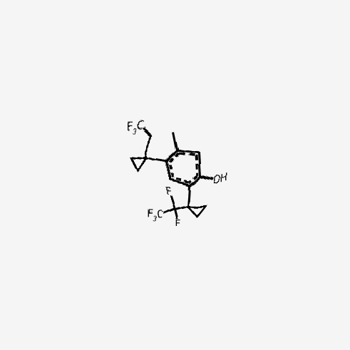 Cc1cc(O)c(C2(C(F)(F)C(F)(F)F)CC2)cc1C1(CC(F)(F)F)CC1